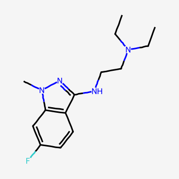 CCN(CC)CCNc1nn(C)c2cc(F)ccc12